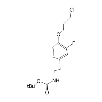 CC(C)(C)OC(=O)NCCc1ccc(OCCCCl)c(F)c1